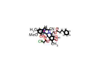 COc1c(C)cc2c(c1O)[C@@H]1C3Cc4c(OC(=O)CCl)c(C)c5c(c4[C@H](COC(=O)CCc4ccccc4)N3C(C#N)[C@H](C2)N1C)OCO5